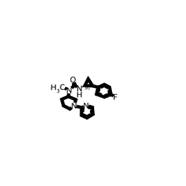 CN(C(=O)N[C@@H]1CC1c1ccc(F)cc1)C1CCCN(c2ccccn2)C1